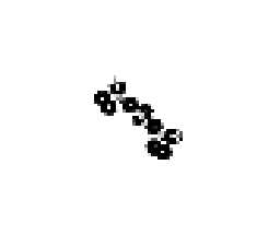 CC(C)(C)n1c(-c2ccc(N(c3ccncc3)c3cccc4ccccc34)cc2)ccc1-c1ccc(N(c2ccncc2)c2cccc3ccccc23)cc1